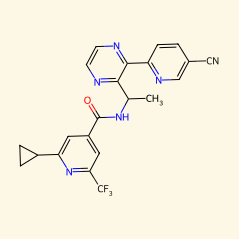 CC(NC(=O)c1cc(C2CC2)nc(C(F)(F)F)c1)c1nccnc1-c1ccc(C#N)cn1